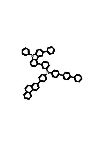 c1ccc(-c2ccc(-c3ccc(N(c4ccc(-c5ccc6c(ccc7ccccc76)c5)cc4)c4cccc(-c5cccc6c5c5cc(-c7ccccc7)ccc5n6-c5ccccc5)c4)cc3)cc2)cc1